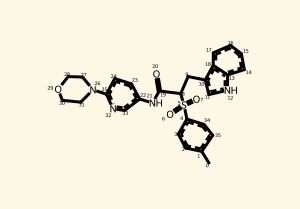 Cc1ccc(S(=O)(=O)C(Cc2c[nH]c3ccccc23)C(=O)Nc2ccc(N3CCOCC3)nc2)cc1